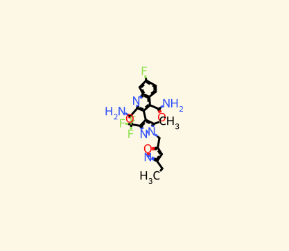 CCc1cc(Cn2nc(C(F)(F)F)c(-c3c(C(N)=O)nc4cc(F)ccc4c3C(N)=O)c2C)on1